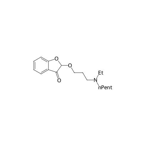 CCCCCN(CC)CCCOC1Oc2ccccc2C1=O